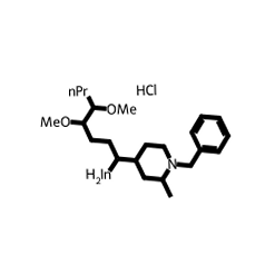 CCCC(OC)C(CC[CH]([InH2])C1CCN(Cc2ccccc2)C(C)C1)OC.Cl